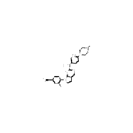 Cc1cc(C#N)ccc1-n1ccc2cnc(Nc3ccc(N4CCN(C)CC4)nc3)nc21